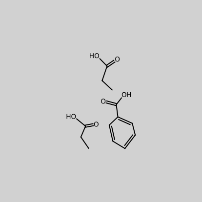 CCC(=O)O.CCC(=O)O.O=C(O)c1ccccc1